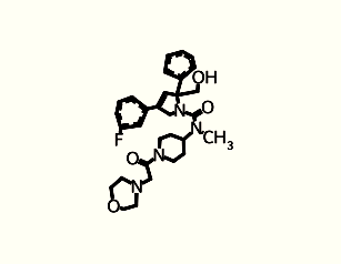 CN(C(=O)N1CC(c2cccc(F)c2)=CC1(CO)c1ccccc1)C1CCN(C(=O)CN2CCOCC2)CC1